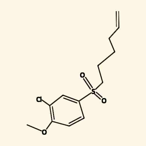 C=CCCCCS(=O)(=O)c1ccc(OC)c(Cl)c1